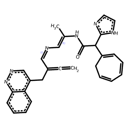 C=C=C(/C=N\C=C(/C)NC(=O)C(C1=CC=CC=CC1)c1ncc[nH]1)Cc1cnnc2ccccc12